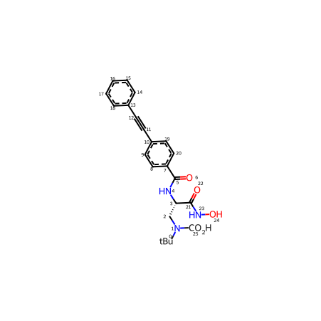 CC(C)(C)N(C[C@H](NC(=O)c1ccc(C#Cc2ccccc2)cc1)C(=O)NO)C(=O)O